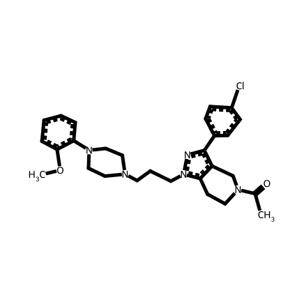 COc1ccccc1N1CCN(CCCn2nc(-c3ccc(Cl)cc3)c3c2CCN(C(C)=O)C3)CC1